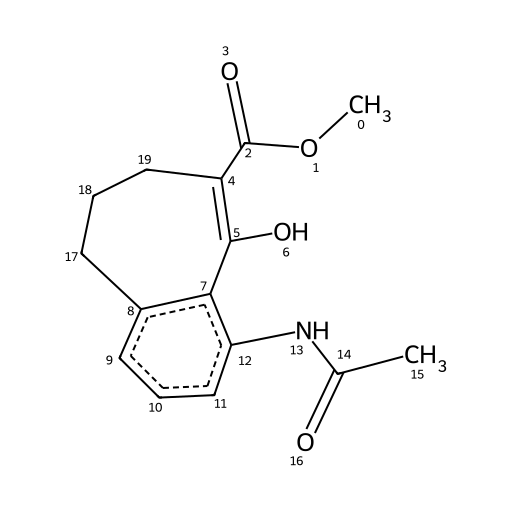 COC(=O)C1=C(O)c2c(cccc2NC(C)=O)CCC1